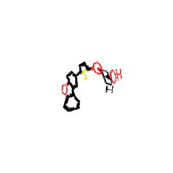 OBOc1ccc(-c2ccc3oc4ccccc4c3c2)s1